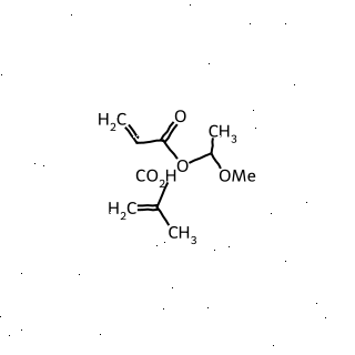 C=C(C)C(=O)O.C=CC(=O)OC(C)OC